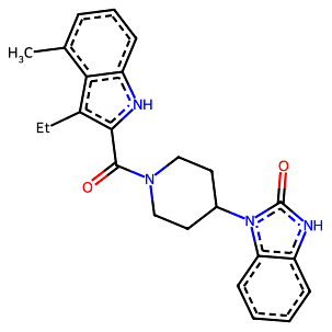 CCc1c(C(=O)N2CCC(n3c(=O)[nH]c4ccccc43)CC2)[nH]c2cccc(C)c12